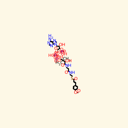 CC(C)(COP(=O)(O)OP(=O)(O)OC[C@H]1O[C@@H](n2cnc3c(N)ncnc32)[C@H](O)[C@@H]1OP(=O)(O)O)C(O)C(=O)NCCC(=O)NCCSC(=O)C=Cc1ccc2c(c1)OCO2